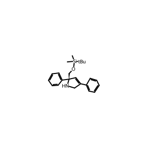 CC(C)(C)[Si](C)(C)OC[C@@]1(c2ccccc2)C=C(c2ccccc2)CN1